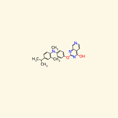 Cc1cc(C(C)C)ccc1N(C)c1ccc(Oc2nc(O)c3ccncc3n2)cc1